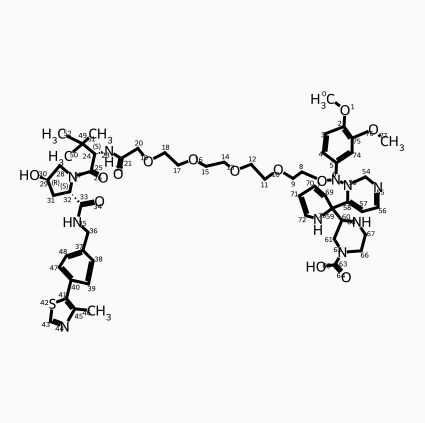 COc1ccc(N(OCCOCCOCCOCCOCC(=O)N[C@H](C(=O)N2C[C@H](O)C[C@H]2C(=O)NCc2ccc(-c3scnc3C)cc2)C(C)(C)C)N2CN=CC=C2C2(C3CN(C(=O)O)CCN3)C=CC=CN2)cc1OC